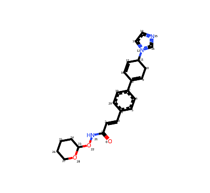 O=C(/C=C/c1ccc(C2=CCC(n3ccnc3)C=C2)cc1)NOC1CCCCO1